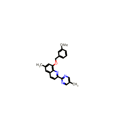 COc1cccc(COc2cc(C)cc3ccc(-c4ncc(C)cn4)nc23)c1